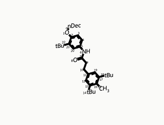 CCCCCCCCCCOc1ccc(NC(=O)CCc2cc(C(C)(C)C)c(C)c(C(C)(C)C)c2)cc1C(C)(C)C